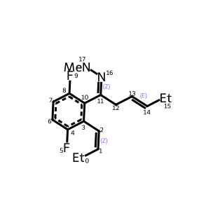 CC/C=C\c1c(F)ccc(F)c1/C(C/C=C/CC)=N\NC